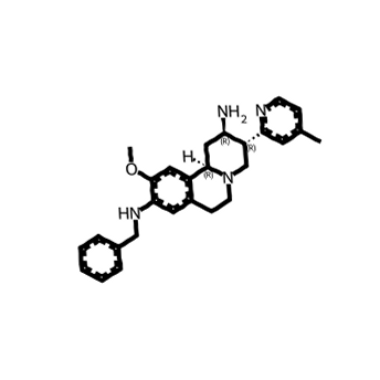 COc1cc2c(cc1NCc1ccccc1)CCN1C[C@@H](c3cc(C)ccn3)[C@H](N)C[C@H]21